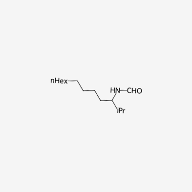 CCCCCCCCCCC(NC=O)C(C)C